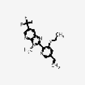 C=Cc1cnc(-c2nc3cc(C(F)(F)F)cnc3n2C)c(SCC)c1